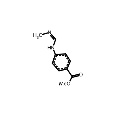 C/N=C\Nc1ccc(C(=O)OC)cc1